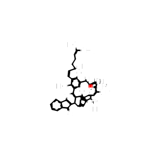 COC(=O)/C(C)=C\CC1(O)C(=O)C2CC(C(C)C)C13Oc1c(CC=C(C)C)c4c(c(O)c1C1=C3C2C2=C(O1)c1ccccc1C2=O)C=CC(C)(CCC=C(C)C)O4